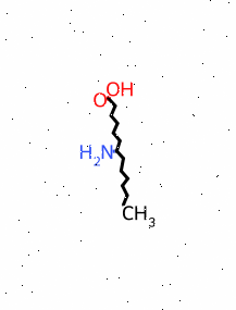 CCCCCCCC(N)CCCCCC(=O)O